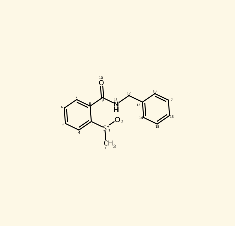 C[S+]([O-])c1ccccc1C(=O)NCc1ccccc1